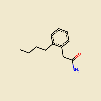 CCCCc1ccccc1CC(N)=O